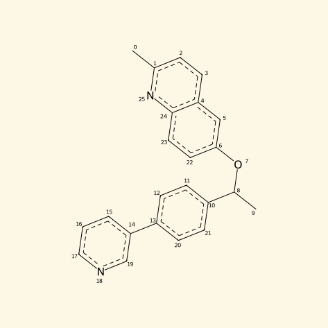 Cc1ccc2cc(OC(C)c3ccc(-c4cccnc4)cc3)ccc2n1